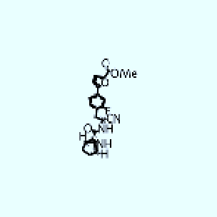 COC(=O)c1ccc(-c2ccc(C[C@@H](C#N)NC(=O)[C@H]3N[C@@H]4CC[C@H]3C4)c(F)c2)o1